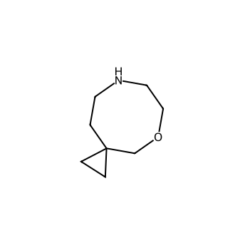 C1COCC2(CCN1)CC2